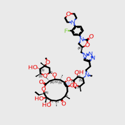 CC[C@H]1OC(=O)[C@H](C)[C@@H](O[C@H]2C[C@@](C)(OC)[C@@H](O)[C@H](C)O2)[C@H](C)/C(O[C@@H]2O[C@H](C)C[C@H](N(C)CCc3cn(C[C@H]4CN(c5ccc(N6CCOCC6)c(F)c5)C(=O)O4)nn3)[C@H]2O)=C(/OC)C[C@@H](C)C(=O)[C@H](C)[C@@H](O)[C@]1(C)O